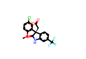 COc1ccc(Cl)cc1[C@@]1(CC(=O)O)C(=O)Nc2cc(C(F)(F)F)ccc21